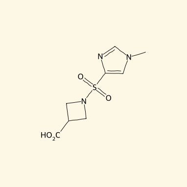 Cn1cnc(S(=O)(=O)N2CC(C(=O)O)C2)c1